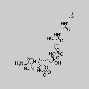 CSCCNC(=O)CCNC(=O)C(O)C(C)(C)COP(=O)(O)OP(=O)(O)OCC1OC(n2cnc3c(N)ncnc32)C(O)C1OP(=O)(O)O